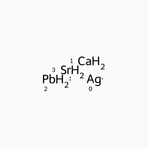 [Ag].[CaH2].[PbH2].[SrH2]